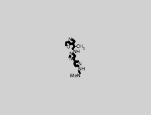 CNCCNc1ccc(-c2cc(NC[C@@H](C)c3ccnc4c3OCC4)ncn2)cn1